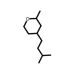 CC(C)CCC1CCOC(C)C1